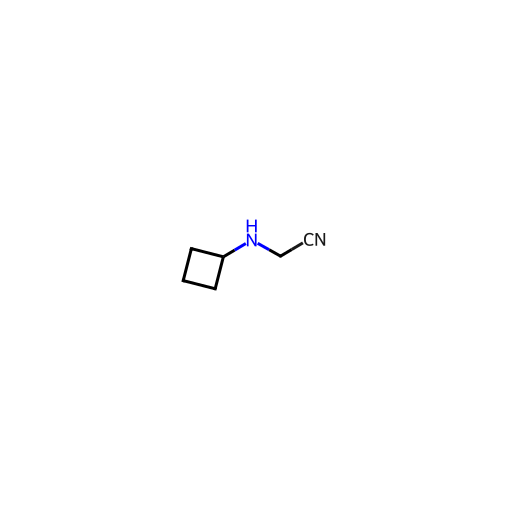 N#CCNC1CCC1